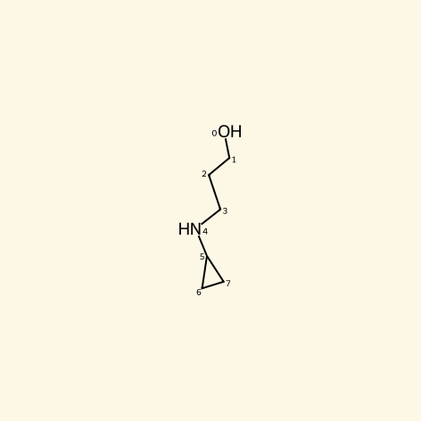 OCCCNC1CC1